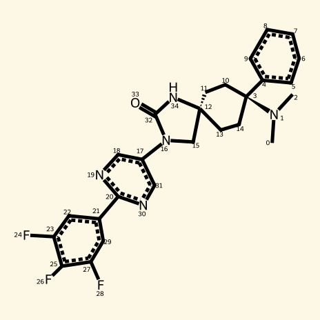 CN(C)[C@]1(c2ccccc2)CC[C@]2(CC1)CN(c1cnc(-c3cc(F)c(F)c(F)c3)nc1)C(=O)N2